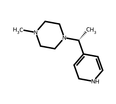 C[C@H](C1=CCNC=C1)N1CCN(C)CC1